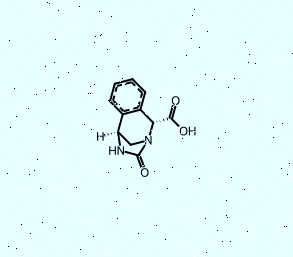 O=C(O)[C@H]1c2ccccc2[C@H]2CN1C(=O)N2